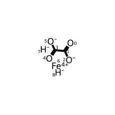 O=C([O-])C(=O)[O-].[Fe+4].[H-].[H-]